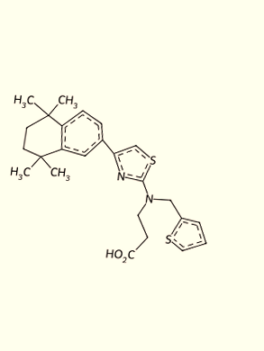 CC1(C)CCC(C)(C)c2cc(-c3csc(N(CCC(=O)O)Cc4cccs4)n3)ccc21